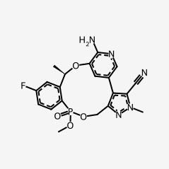 COP1(=O)OCc2nn(C)c(C#N)c2-c2cnc(N)c(c2)O[C@H](C)c2cc(F)ccc21